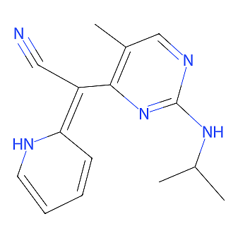 Cc1cnc(NC(C)C)nc1/C(C#N)=C1\C=CC=CN1